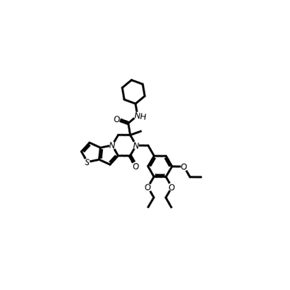 CCOc1cc(CN2C(=O)c3cc4sccc4n3CC2(C)C(=O)NC2CCCCC2)cc(OCC)c1OCC